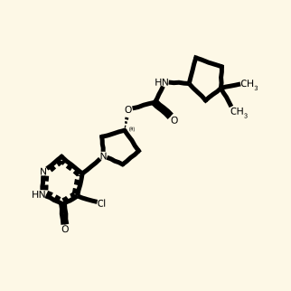 CC1(C)CCC(NC(=O)O[C@@H]2CCN(c3cn[nH]c(=O)c3Cl)C2)C1